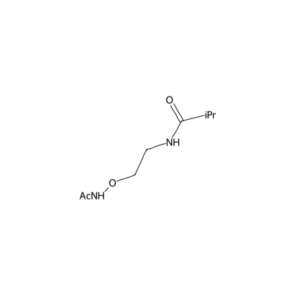 CC(=O)NOCCNC(=O)C(C)C